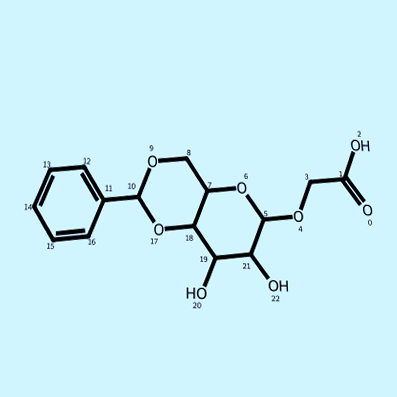 O=C(O)COC1OC2COC(c3ccccc3)OC2C(O)C1O